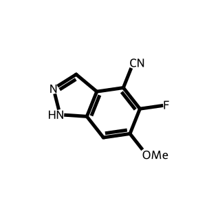 COc1cc2[nH]ncc2c(C#N)c1F